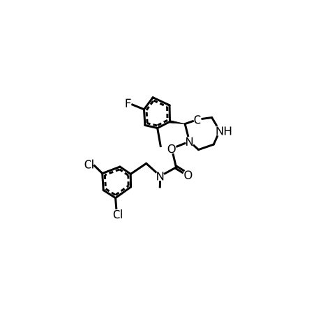 Cc1cc(F)ccc1[C@H]1CCNCCN1OC(=O)N(C)Cc1cc(Cl)cc(Cl)c1